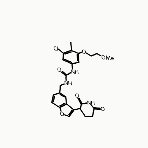 COCCOc1cc(NC(=O)NCc2ccc3occ(C4CCC(=O)NC4=O)c3c2)cc(Cl)c1C